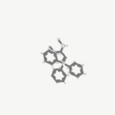 COC(C=P(c1ccccc1)(c1ccccc1)c1ccccc1)OC